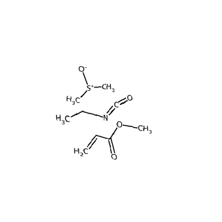 C=CC(=O)OC.CCN=C=O.C[S+](C)[O-]